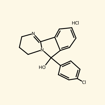 Cl.OC1(c2ccc(Cl)cc2)c2ccccc2C2=NCCCN21